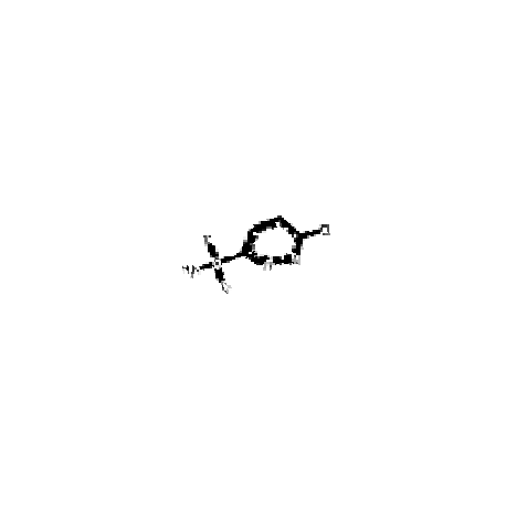 NS(=O)(=O)c1ccc(Cl)nn1